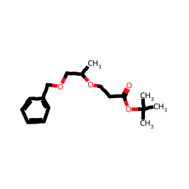 CC(COCc1ccccc1)OCCC(=O)OC(C)(C)C